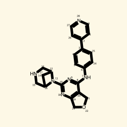 c1cc(-c2ccc(Nc3nc(N4C5CNCC4C5)nc4c3COC4)cc2)ccn1